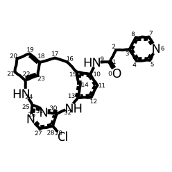 O=C(Cc1ccncc1)Nc1ccc2cc1CCC1=CCCC(=C1)Nc1ncc(Cl)c(n1)N2